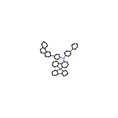 c1ccc(-c2ccc(N(c3ccc(-c4ccc5ccc6ccccc6c5c4)cc3)c3cccc4c3-c3ccccc3C43c4ccccc4-c4ccccc43)cc2)cc1